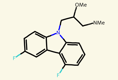 CNCC(Cn1c2ccc(F)cc2c2c(F)cccc21)OC